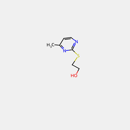 Cc1ccnc(SCCO)n1